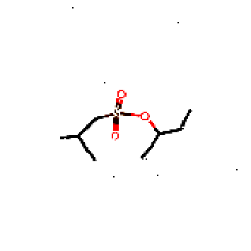 CCC(C)OS(=O)(=O)CC(C)C